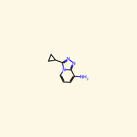 Nc1cccn2c(C3CC3)nnc12